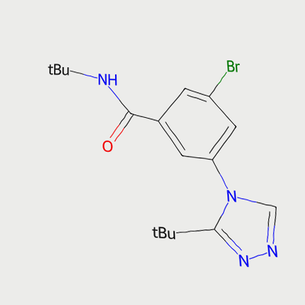 CC(C)(C)NC(=O)c1cc(Br)cc(-n2cnnc2C(C)(C)C)c1